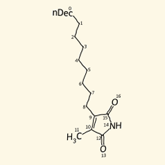 CCCCCCCCCCCCCCCCCCC1=C(C)C(=O)NC1=O